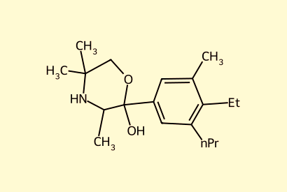 CCCc1cc(C2(O)OCC(C)(C)NC2C)cc(C)c1CC